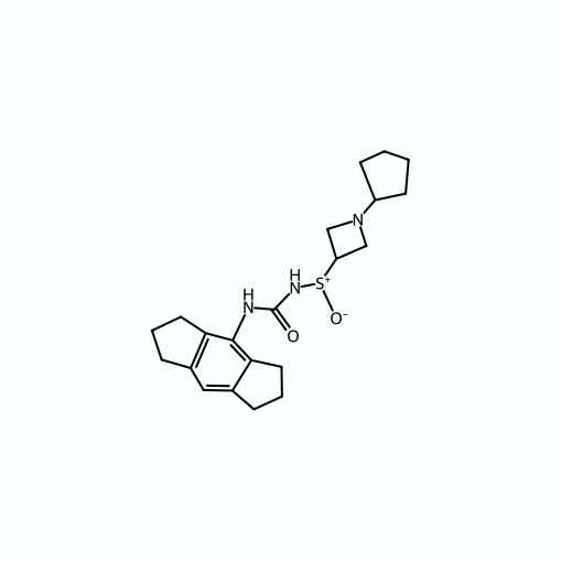 O=C(Nc1c2c(cc3c1CCC3)CCC2)N[S+]([O-])C1CN(C2CCCC2)C1